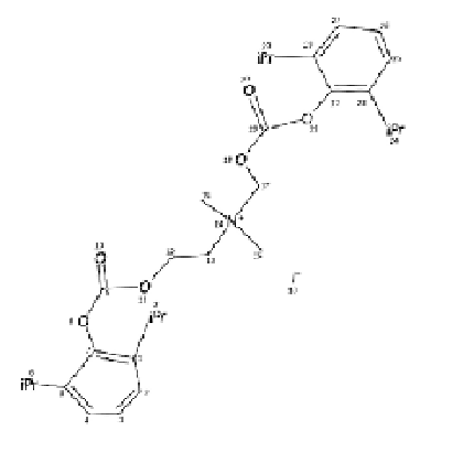 CC(C)c1cccc(C(C)C)c1OC(=O)OCC[N+](C)(C)COC(=O)Oc1c(C(C)C)cccc1C(C)C.[I-]